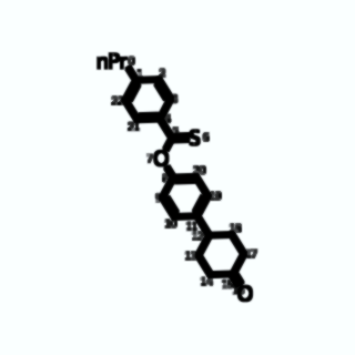 CCCc1ccc(C(=S)Oc2ccc(C3CCC(=O)CC3)cc2)cc1